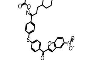 CC(=O)ON=C(CCC1CCCCC1)c1ccc(Sc2ccc(C(=O)c3cc4cc([N+](=O)[O-])ccc4o3)cc2)cc1